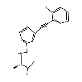 CC(C)[C@@H](C)NCc1cccc(C#Cc2ccccc2F)n1